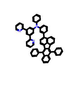 c1ccc(-c2c3c(c(-c4ccccc4)c4ccccc24)-c2ccc(-c4cccc(N(c5ccccc5)c5cc(-c6ccccn6)cc(-c6ccccn6)c5)c4)c4cccc-3c24)cc1